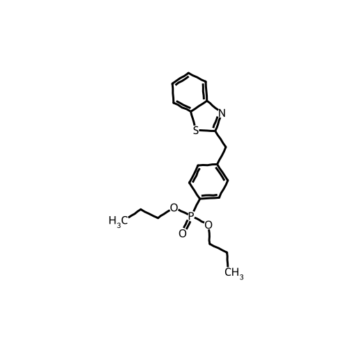 CCCOP(=O)(OCCC)c1ccc(Cc2nc3ccccc3s2)cc1